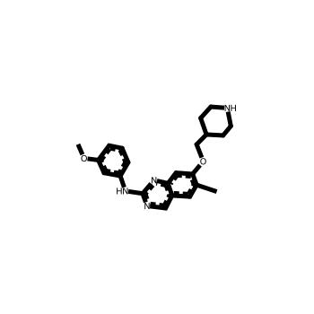 COc1cccc(Nc2ncc3cc(C)c(OCC4CCNCC4)cc3n2)c1